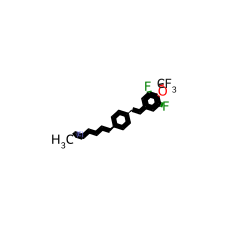 C/C=C/CCCC[C@H]1CC[C@H](CCc2cc(F)c(OC(F)(F)F)c(F)c2)CC1